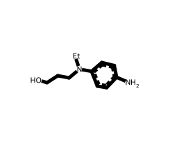 CCN(CCCO)c1ccc(N)cc1